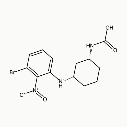 O=C(O)N[C@@H]1CCC[C@H](Nc2cccc(Br)c2[N+](=O)[O-])C1